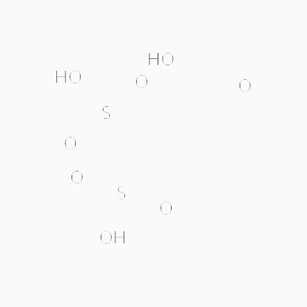 CCCC(C(=O)O)=C(S(=O)(=O)O)S(=O)(=O)O